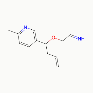 C=CCC(OCC=N)c1ccc(C)nc1